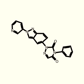 O=c1cnn(-c2ccc3nn(-c4cccnc4)cc3c2)c(=O)n1-c1ccccc1